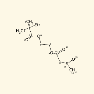 CCC(C)(C)C(=O)OCCOC(=O)C[S+](C)[O-]